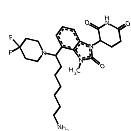 Cn1c(=O)n(C2CCC(=O)NC2=O)c2cccc(C(CCCCCCN)N3CCC(F)(F)CC3)c21